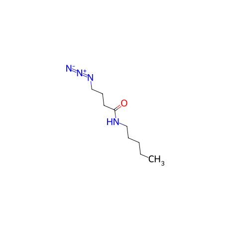 CCCCCNC(=O)CCCN=[N+]=[N-]